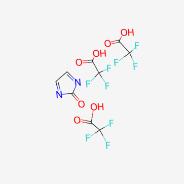 O=C(O)C(F)(F)F.O=C(O)C(F)(F)F.O=C(O)C(F)(F)F.O=C1N=CC=N1